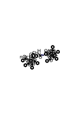 CCCCCCCCOc1c(O[C@@H]2O[C@H](COC(=O)c3ccccc3)[C@H](OC(=O)c3ccccc3)[C@H](OC(=O)c3ccccc3)[C@H]2OC(=O)c2ccccc2)c2ccc(NC(=O)/C=C/c3cc(OC)c(O[C@@H]4O[C@H](COC(=O)c5ccccc5)[C@H](OC(=O)c5ccccc5)[C@H](OC(=O)c5ccccc5)[C@H]4OC(=O)c4ccccc4)c(OC)c3)cc2n(C)c1=O